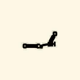 O=[SiH][Ce]=[O]